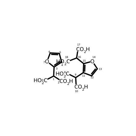 O=C(O)C(C(=O)O)c1ccco1.O=C(O)C(C(=O)O)c1ccoc1C(C(=O)O)C(=O)O